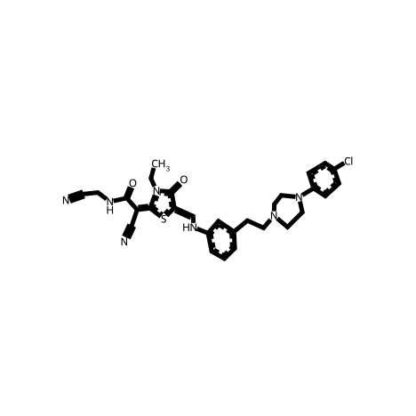 CCn1c(=C(C#N)C(=O)NCC#N)sc(=CNc2cccc(CCN3CCN(c4ccc(Cl)cc4)CC3)c2)c1=O